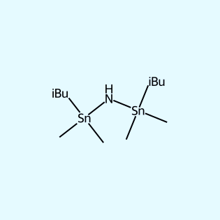 CC[CH](C)[Sn]([CH3])([CH3])[NH][Sn]([CH3])([CH3])[CH](C)CC